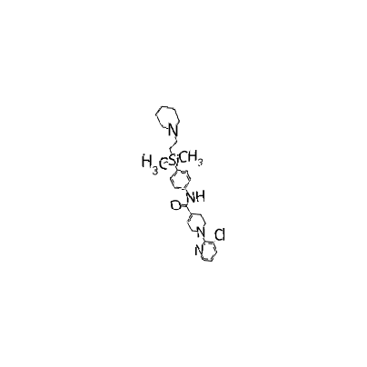 C[Si](C)(CCN1CCCCC1)c1ccc(NC(=O)C2=CCN(c3ncccc3Cl)CC2)cc1